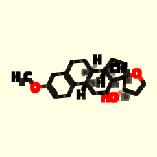 COC1=CCC2=C(CC[C@@H]3[C@@H]2CC[C@@]2(C)[C@H]3CC[C@]23OCC[C@@H]3O)C1